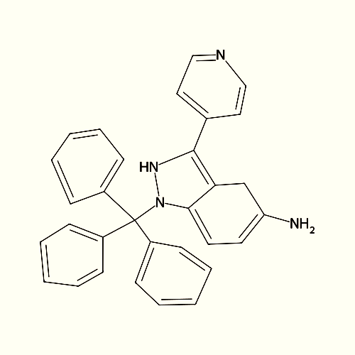 NC1=CC=C2C(=C(c3ccncc3)NN2C(c2ccccc2)(c2ccccc2)c2ccccc2)C1